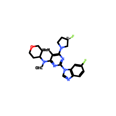 CNc1c(N2CC[C@H](F)C2)nc(-n2cnc3ccc(F)cc32)nc1N(C=O)C1CCOCC1